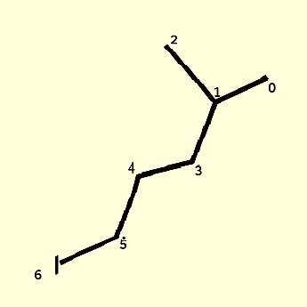 CC(C)CC[CH]I